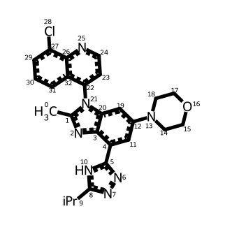 Cc1nc2c(-c3nnc(C(C)C)[nH]3)cc(N3CCOCC3)cc2n1-c1ccnc2c(Cl)cccc12